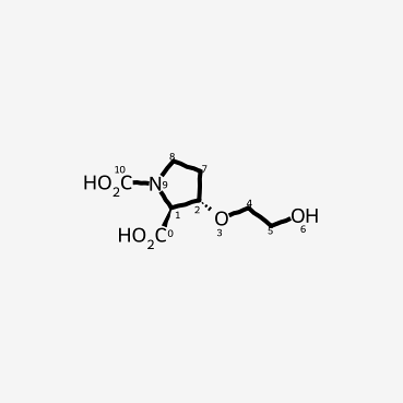 O=C(O)[C@@H]1[C@@H](OCCO)CCN1C(=O)O